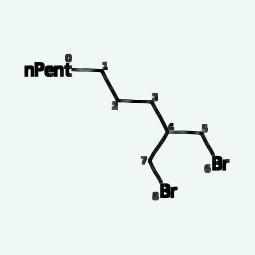 CCCCCCCCC(CBr)CBr